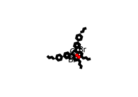 CCCCc1ccc(C(OC(c2ccc(CCCC)cc2)c2ccc([C@H]3CC[C@H](CCCC)CC3)cc2Br)c2ccc([C@H]3CC[C@H](CCCC)CC3)cc2Br)cc1